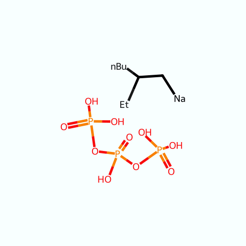 CCCCC(CC)[CH2][Na].O=P(O)(O)OP(=O)(O)OP(=O)(O)O